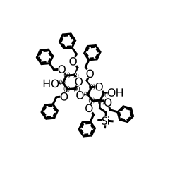 C[Si](C)(C)CC[C@]1(OCc2ccccc2)[C@H](O)O[C@H](COCc2ccccc2)[C@H](O[C@H]2O[C@H](COCc3ccccc3)[C@H](OCc3ccccc3)[C@H](O)[C@H]2OCc2ccccc2)[C@@H]1OCc1ccccc1